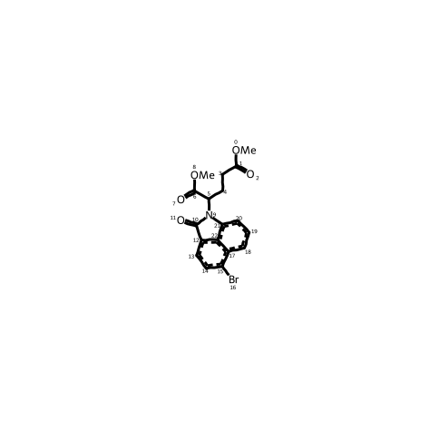 COC(=O)CCC(C(=O)OC)N1C(=O)c2ccc(Br)c3cccc1c23